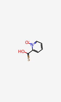 [O-][n+]1ccccc1C(O)=S